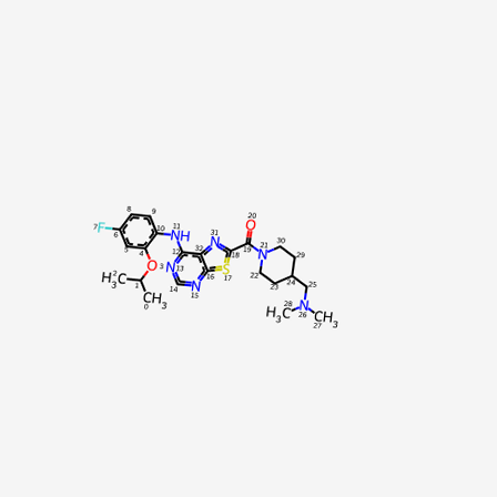 CC(C)Oc1cc(F)ccc1Nc1ncnc2sc(C(=O)N3CCC(CN(C)C)CC3)nc12